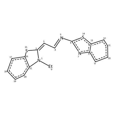 CCN1C(=CC=Nc2nc3ccccc3s2)Sc2ccccc21